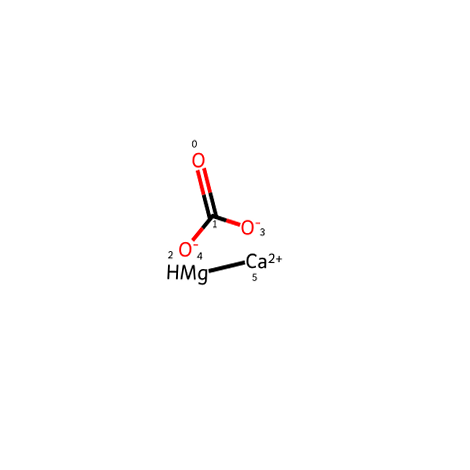 O=C([O-])[O-].[MgH][Ca+2]